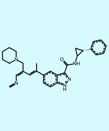 C=N/C=C(\C=C(/C)c1ccc2[nH]nc(C(=O)NC3C[C@@H]3c3ccccc3)c2c1)CN1CCCCC1